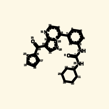 O=C(Nc1cccc(-c2ccnc3c(C(=O)c4cccs4)cnn23)c1)NC1CCCCC1